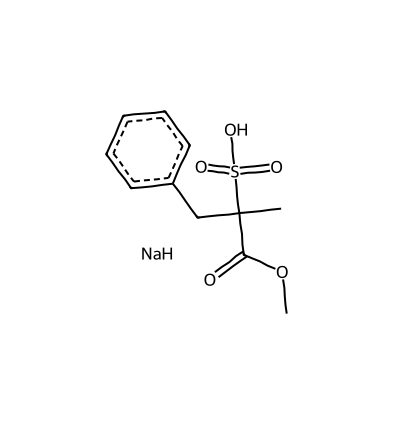 COC(=O)C(C)(Cc1ccccc1)S(=O)(=O)O.[NaH]